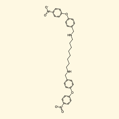 O=[N+]([O-])c1ccc(Oc2ccc(CNCCCCCCCCNCc3ccc(Oc4ccc([N+](=O)[O-])cc4)cc3)cc2)cc1